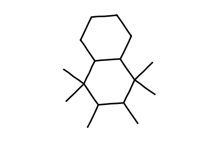 CC1C(C)C(C)(C)C2CCCCC2C1(C)C